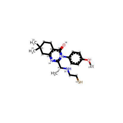 CCOc1ccc(-n2c([C@@H](C)NCCS)nc3c(c2=O)CCC(C)(C)C3)cc1